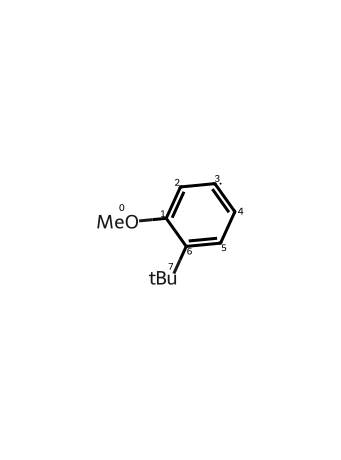 COc1c[c]ccc1C(C)(C)C